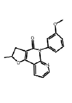 COc1cccc(-n2c(=O)c3c(c4cccnc42)OC(C)C3)c1